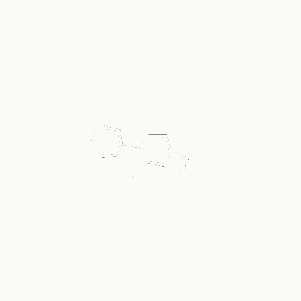 CC(C)(C)c1nc2c(C(=O)O)cc(-c3ccccc3)c(Br)c2o1